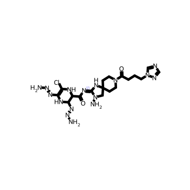 NN=NC1=C(Cl)NC(C(=O)/N=C2/NC3(CCN(C(=O)CCCn4cncn4)CC3)CN2N)C(N=NN)N1